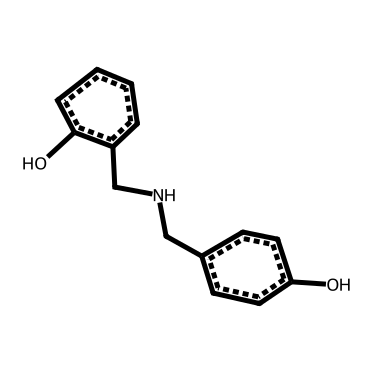 Oc1ccc(CNCc2ccccc2O)cc1